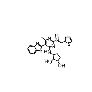 Cc1nc(NCc2cccs2)nc(N[C@@H]2CC[C@@H](O)[C@H]2O)c1-c1nc2ccccc2s1